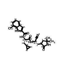 CC1(C)CC(C[C@@H](C#N)NC(=O)[C@H](CC2CC2)NC(=O)c2cc3cccc(Cl)c3[nH]2)C(=O)N1